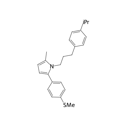 CSc1ccc(-c2ccc(C)n2CCCc2ccc(C(C)C)cc2)cc1